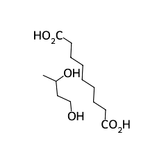 CC(O)CCO.O=C(O)CCCCCCCC(=O)O